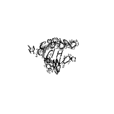 CC(C)(C)N(NC(=O)c1ccc(Cl)cc1)C(=O)c1ccccc1.CC1(C)C(C=C(Cl)Cl)C1C(=O)O[C@H](C#N)c1cccc(Oc2ccccc2)c1